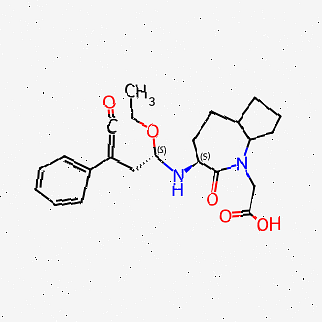 CCO[C@@H](CC(=C=O)c1ccccc1)N[C@H]1CCC2CCCC2N(CC(=O)O)C1=O